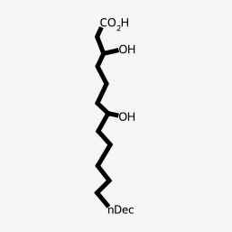 CCCCCCCCCCCCCCCC(O)CCCC(O)CC(=O)O